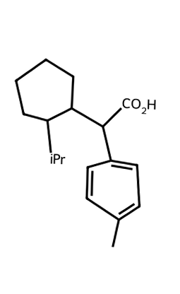 Cc1ccc(C(C(=O)O)C2CCCCC2C(C)C)cc1